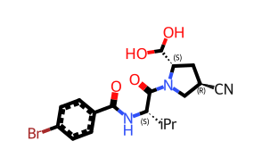 CC(C)[C@H](NC(=O)c1ccc(Br)cc1)C(=O)N1C[C@H](C#N)C[C@H]1C(O)O